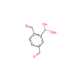 O=Cc1ccc(C=O)c(C(O)O)c1